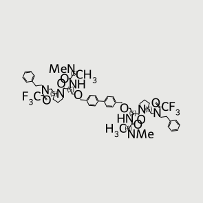 CN[C@@H](C)C(=O)N[C@@H](COCc1ccc(-c2ccc(COC[C@H](NC(=O)[C@H](C)NC)C(=O)N3CCC[C@H]3CN(CCc3ccccc3)C(=O)C(F)(F)F)cc2)cc1)C(=O)N1CCC[C@H]1CN(CCc1ccccc1)C(=O)C(F)(F)F